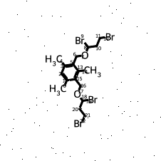 Cc1cc(C)c(COC(Br)CCBr)c(C)c1COC(Br)CCBr